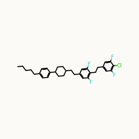 CCCCCc1ccc(C2CCC(CCc3cc(F)c(CCc4cc(F)c(Cl)c(F)c4)c(F)c3)CC2)cc1